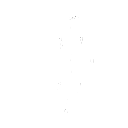 CSc1nc(Cl)c(-c2ccc(Cl)cc2)c(Cl)n1